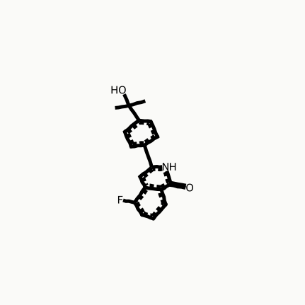 CC(C)(O)c1ccc(-c2cc3c(F)cccc3c(=O)[nH]2)cc1